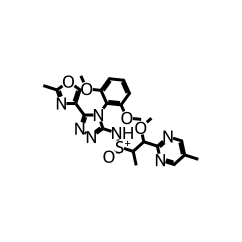 COc1cccc(OC)c1-n1c(N[S+]([O-])C(C)C(OC)c2ncc(C)cn2)nnc1-c1coc(C)n1